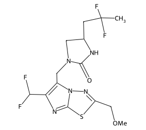 COCc1nn2c(CN3CC(CC(C)(F)F)NC3=O)c(C(F)F)nc2s1